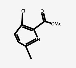 COC(=O)c1nc(C)ccc1Cl